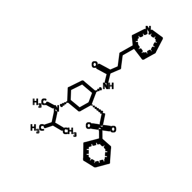 CC(C)N(C)[C@@H]1CC[C@H](NC(=O)CCc2cccnc2)[C@H](CS(=O)(=O)c2ccccc2)C1